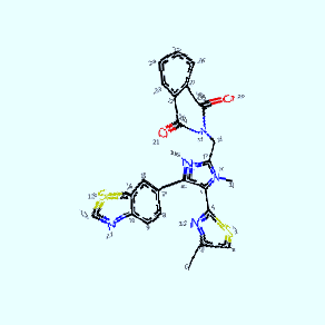 Cc1csc(-c2c(-c3ccc4ncsc4c3)nc(CN3C(=O)c4ccccc4C3=O)n2C)n1